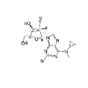 C#C[C@@]1(F)[C@H](O)[C@@H](CO)O[C@H]1n1cnc2c(N(C)C3CC3)nc(Br)nc21